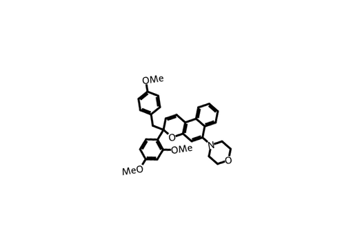 COc1ccc(CC2(c3ccc(OC)cc3OC)C=Cc3c(cc(N4CCOCC4)c4ccccc34)O2)cc1